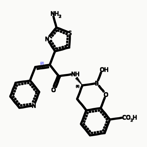 Nc1nc(/C(=C/c2cccnc2)C(=O)N[C@H]2Cc3cccc(C(=O)O)c3OB2O)cs1